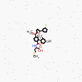 COC(c1ccc(C(=O)NC(CCSC)C(=O)O)c(-c2ccccc2C)c1)c1ccc(-c2cccc(F)c2)o1.[LiH]